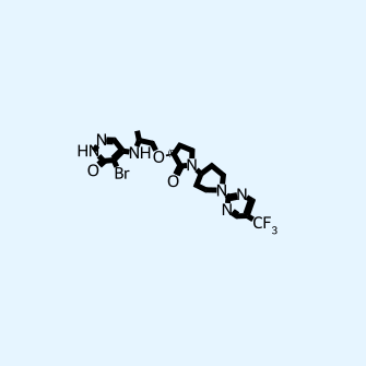 CC(CO[C@@H]1CCN(C2CCN(c3ncc(C(F)(F)F)cn3)CC2)C1=O)Nc1cn[nH]c(=O)c1Br